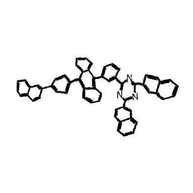 c1cc(-c2nc(-c3ccc4ccccc4c3)nc(-c3ccc4ccccc4c3)n2)cc(-c2c3ccccc3c(-c3ccc(-c4ccc5ccccc5c4)cc3)c3ccccc23)c1